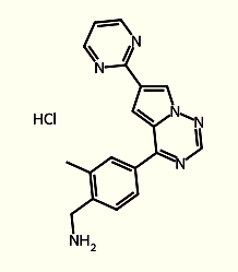 Cc1cc(-c2ncnn3cc(-c4ncccn4)cc23)ccc1CN.Cl